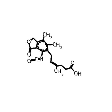 CC(=CCc1c(C)c(C)c2c(c1N=C=O)C(=O)OC2)CCC(=O)O